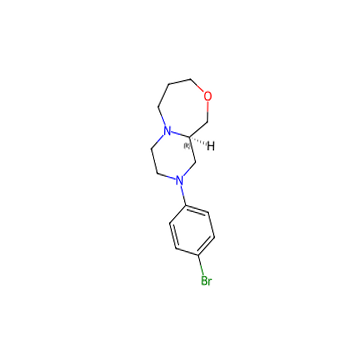 Brc1ccc(N2CCN3CCCOC[C@H]3C2)cc1